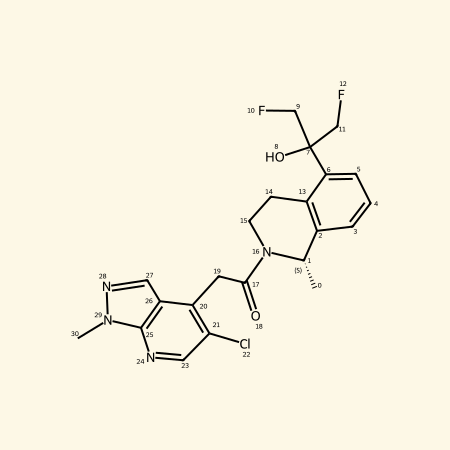 C[C@H]1c2cccc(C(O)(CF)CF)c2CCN1C(=O)Cc1c(Cl)cnc2c1cnn2C